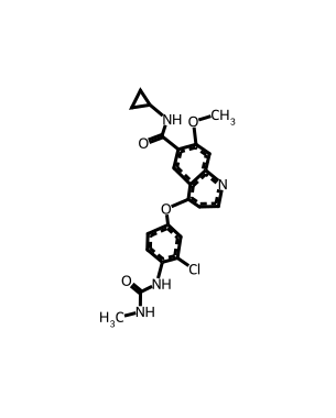 CNC(=O)Nc1ccc(Oc2ccnc3cc(OC)c(C(=O)NC4CC4)cc23)cc1Cl